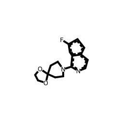 Fc1ccc2ccnc(N3CCC4(CC3)OCCO4)c2c1